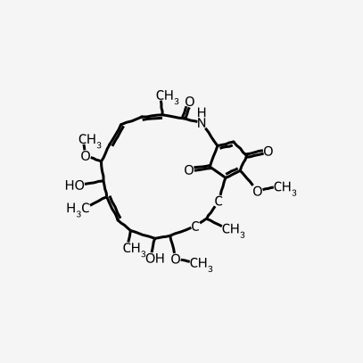 COC1=C2CC(C)CC(OC)C(O)C(C)C=C(C)C(O)C(OC)C=CC=C(C)C(=O)NC(=CC1=O)C2=O